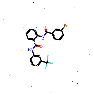 O=C(Nc1ccccc1C(=O)Nc1cccc(C(F)(F)F)c1)c1cccc(Br)c1